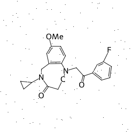 COc1ccc2c(c1)CN(C1CC1)C(=O)CCN2CC(=O)c1cccc(F)c1